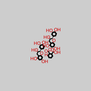 O=C(O)c1ccccc1C(=O)O.Oc1cc(O)c2c(c1)O[C@H](c1ccc(O)c(O)c1)[C@@H](O)C2.Oc1cc(O)c2c(c1)O[C@H](c1ccc(O)c(O)c1)[C@@H](O)C2